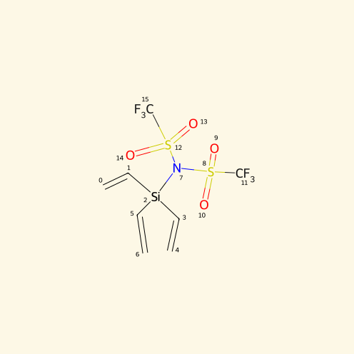 C=C[Si](C=C)(C=C)N(S(=O)(=O)C(F)(F)F)S(=O)(=O)C(F)(F)F